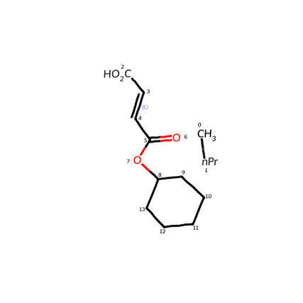 CCCC.O=C(O)/C=C/C(=O)OC1CCCCC1